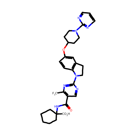 O=C(NC1(C(=O)O)CCCCC1)c1cnc(N2CCc3cc(OC4CCN(c5ncccn5)CC4)ccc32)nc1C(F)(F)F